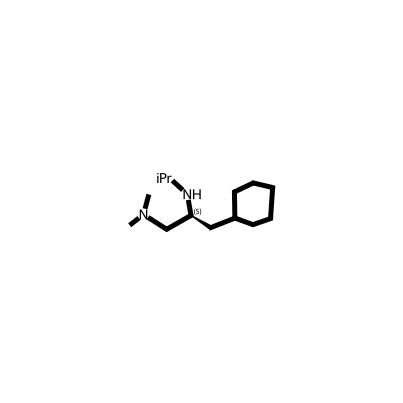 CC(C)N[C@@H](CC1CCCCC1)CN(C)C